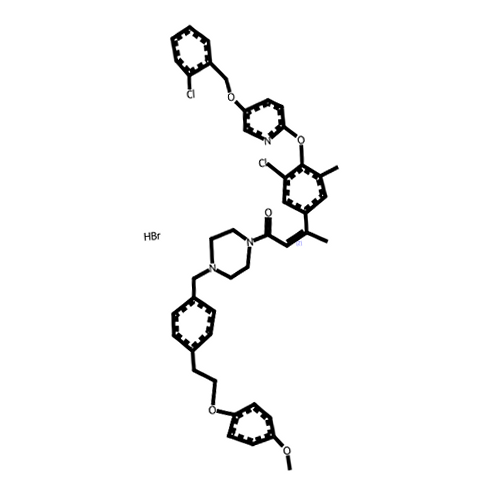 Br.COc1ccc(OCCc2ccc(CN3CCN(C(=O)/C=C(/C)c4cc(C)c(Oc5ccc(OCc6ccccc6Cl)cn5)c(Cl)c4)CC3)cc2)cc1